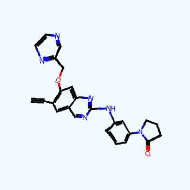 C#Cc1cc2cnc(Nc3cccc(N4CCCC4=O)c3)nc2cc1OCc1cnccn1